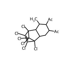 CC(=O)C1CC2C(C(C)C1C(C)=O)C1(Cl)C(Cl)=C(Cl)C2(Cl)C1(Cl)Cl